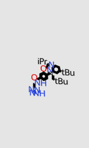 CC(C)C1=NC2(CCC(C(C)(C)C)CC2)N([C@H](CCC(C)(C)C)c2ccc(C(=O)NCc3nn[nH]n3)cc2)C1=O